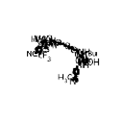 COc1cc(OCCCOCCOCC(=O)N[C@H](C(=O)N2C[C@H](O)C[C@H]2C(=O)NCc2ccc(-c3scnc3C)cc2)C(C)(C)C)ncc1N1C(=S)N(c2ccc(C#N)c(C(F)(F)F)c2F)C(=O)C1(C)C